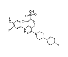 COc1ccc(Nc2c(C(=O)N3CCC(c4ccc(F)cc4)CC3)cnc(S(=O)(=O)O)c2Cl)cc1F